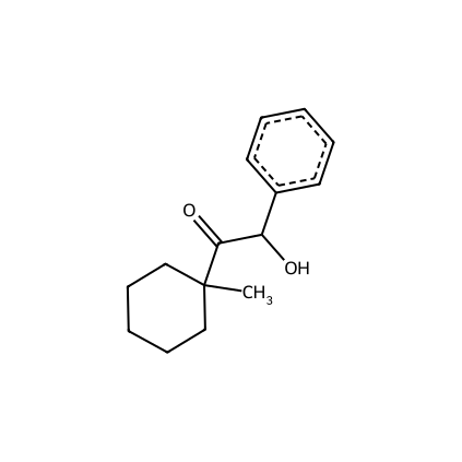 CC1(C(=O)C(O)c2ccccc2)CCCCC1